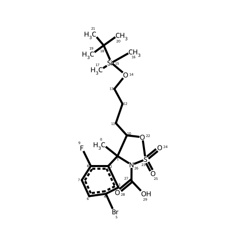 CC1(c2cc(Br)ccc2F)C(CCCO[Si](C)(C)C(C)(C)C)OS(=O)(=O)N1C(=O)O